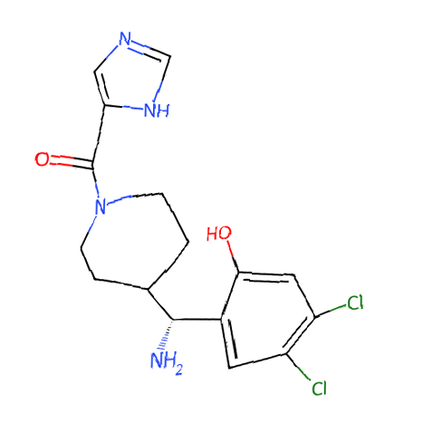 N[C@@H](c1cc(Cl)c(Cl)cc1O)C1CCN(C(=O)c2cnc[nH]2)CC1